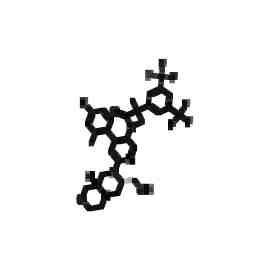 Cc1cc(F)ccc1-c1cc(N2C[C@H]3COCCN3C[C@H]2CO)ncc1N1CC(C)(c2cc(C(F)(F)F)cc(C(F)(F)F)c2)C1=O